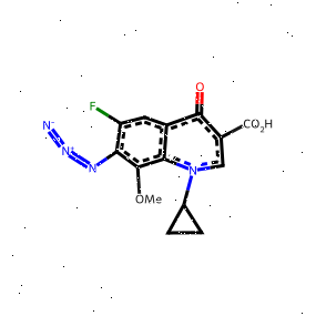 COc1c(N=[N+]=[N-])c(F)cc2c(=O)c(C(=O)O)cn(C3CC3)c12